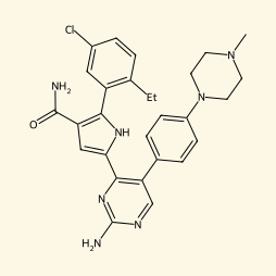 CCc1ccc(Cl)cc1-c1[nH]c(-c2nc(N)ncc2-c2ccc(N3CCN(C)CC3)cc2)cc1C(N)=O